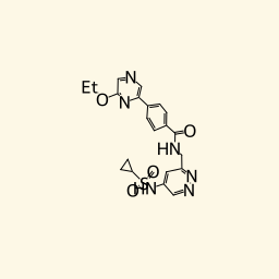 CCOc1cncc(-c2ccc(C(=O)NCc3cc(NS(=O)(=O)C4CC4)cnn3)cc2)n1